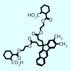 Cc1cc2c(cc1C)C(CCC(=O)OCCOC(=O)C1CCCCC1C(=O)O)(CCC(=O)OCCOC(=O)C1CCCCC1C(=O)O)c1cc3ccccc3cc1-2